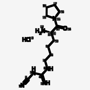 Cl.N#CNC(=N)NCCCC[C@H](N)C(=O)N1CCCC1